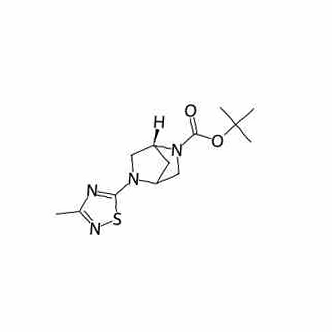 Cc1nsc(N2C[C@H]3CC2CN3C(=O)OC(C)(C)C)n1